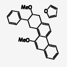 COc1cc2ccccc2c2ccc3c(c12)CC(c1ccccc1)C(OC)C3.c1ccoc1